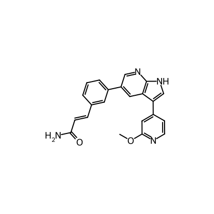 COc1cc(-c2c[nH]c3ncc(-c4cccc(C=CC(N)=O)c4)cc23)ccn1